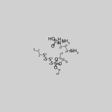 CCCSSSS[Si](OCC)(OCC)OCC.N.O=C(O)NCCC[SiH3]